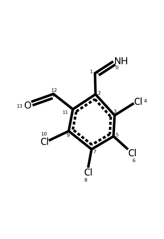 N=[C]c1c(Cl)c(Cl)c(Cl)c(Cl)c1[C]=O